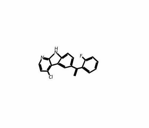 C=C(c1ccc2[nH]c3nccc(Cl)c3c2c1)c1ccccc1F